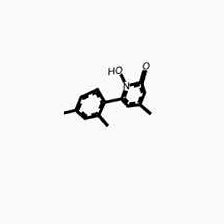 Cc1ccc(-c2cc(C)cc(=O)n2O)c(C)c1